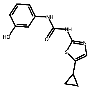 O=C(Nc1cccc(O)c1)Nc1ncc(C2CC2)s1